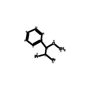 CC(C)C(C(C)C)C(O[SiH3])c1ccccc1